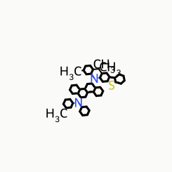 Cc1cccc(N(c2ccccc2)c2cc3c4ccccc4c(N4c5cc(C)ccc5C(C)(C)c5cc6c(cc54)sc4ccccc46)cc3c3ccccc23)c1